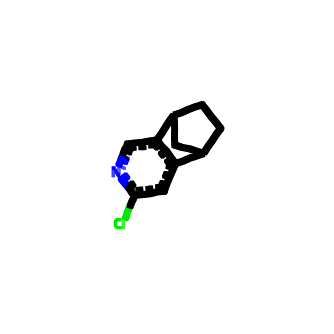 Clc1cc2c(cn1)C1CCC2C1